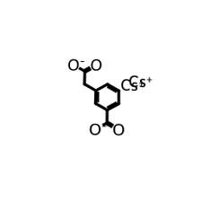 O=C([O-])Cc1cccc(C(=O)[O-])c1.[Cs+].[Cs+]